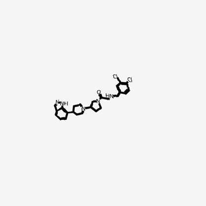 O=C(CNCc1ccc(Cl)c(Cl)c1)N1CCC(N2CCC(c3cccc4cn[nH]c34)CC2)C1